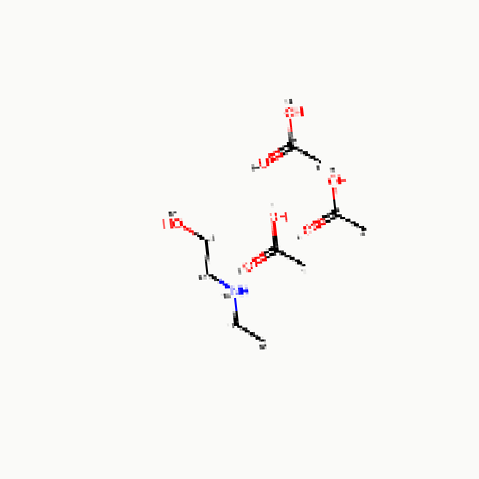 CC(=O)O.CC(=O)O.CC(=O)O.CCNCCO